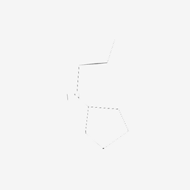 CC[C@@H](C)NC1CCCC1